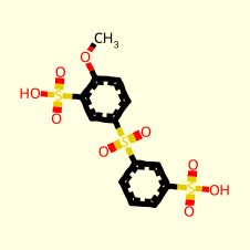 COc1ccc(S(=O)(=O)c2cccc(S(=O)(=O)O)c2)cc1S(=O)(=O)O